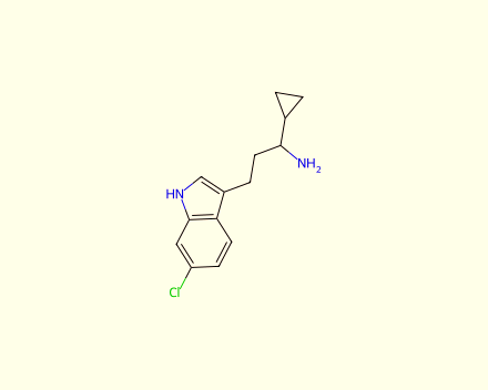 NC(CCc1c[nH]c2cc(Cl)ccc12)C1CC1